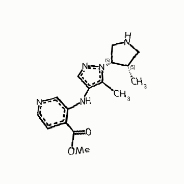 COC(=O)c1ccncc1Nc1cnn([C@@H]2CNC[C@@H]2C)c1C